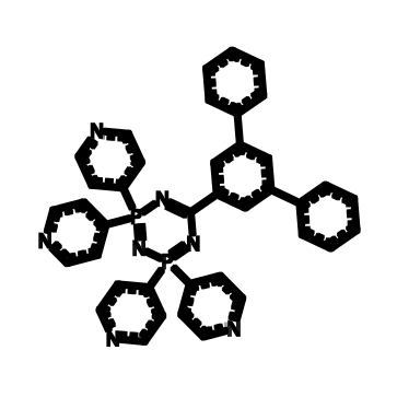 c1ccc(-c2cc(C3=NP(c4ccncc4)(c4ccncc4)=NP(c4ccncc4)(c4ccncc4)=N3)cc(-c3ccccc3)c2)cc1